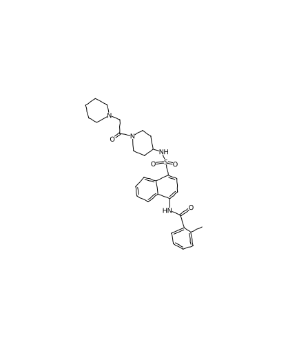 Cc1ccccc1C(=O)Nc1ccc(S(=O)(=O)NC2CCN(C(=O)CN3CCCCC3)CC2)c2ccccc12